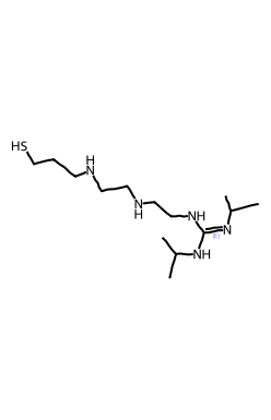 CC(C)/N=C(\NCCNCCNCCCS)NC(C)C